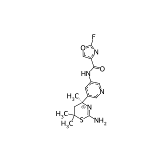 CC1(C)C[C@@](C)(c2cncc(NC(=O)c3coc(F)n3)c2)N=C(N)S1